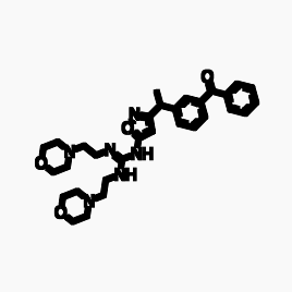 CC(c1cccc(C(=O)c2ccccc2)c1)c1cc(NC(=NCCN2CCOCC2)NCCN2CCOCC2)on1